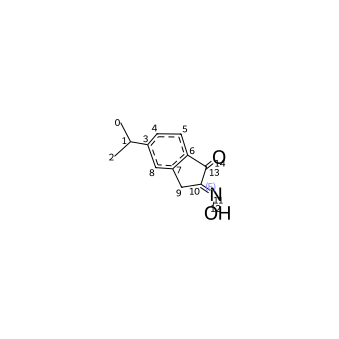 CC(C)c1ccc2c(c1)C/C(=N\O)C2=O